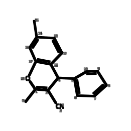 CC1=C(C#N)C(c2ccccc2)c2ccc(C)cc2O1